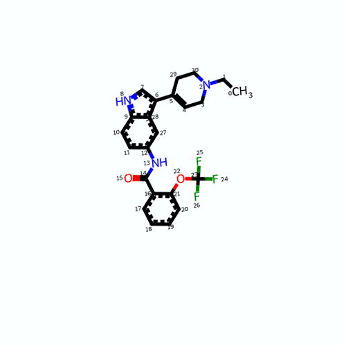 CCN1CC=C(c2c[nH]c3ccc(NC(=O)c4ccccc4OC(F)(F)F)cc23)CC1